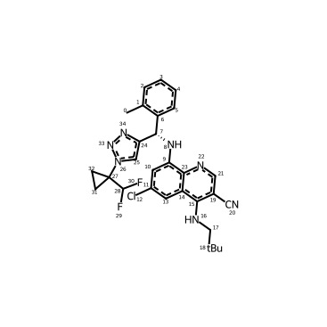 Cc1ccccc1[C@H](Nc1cc(Cl)cc2c(NCC(C)(C)C)c(C#N)cnc12)c1cn(C2(C(F)F)CC2)nn1